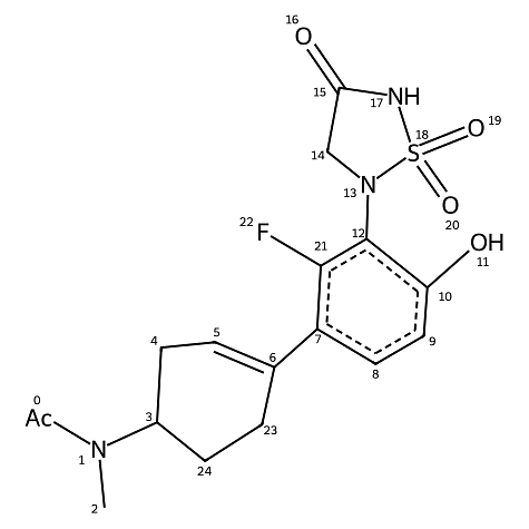 CC(=O)N(C)C1CC=C(c2ccc(O)c(N3CC(=O)NS3(=O)=O)c2F)CC1